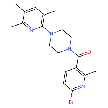 Cc1cc(C)c(N2CCN(C(=O)c3ccc(Br)nc3C)CC2)nc1C